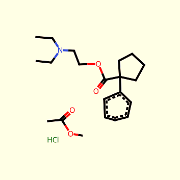 CCN(CC)CCOC(=O)C1(c2ccccc2)CCCC1.COC(C)=O.Cl